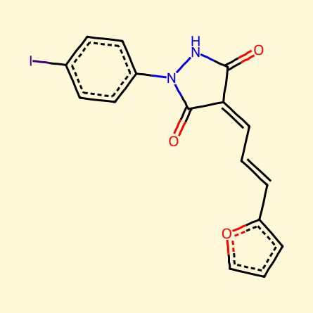 O=C1NN(c2ccc(I)cc2)C(=O)C1=C/C=C/c1ccco1